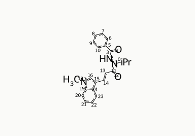 CC(C)N(NC(=O)c1ccccc1)C(=O)/C=C/c1cn(C)c2ccccc12